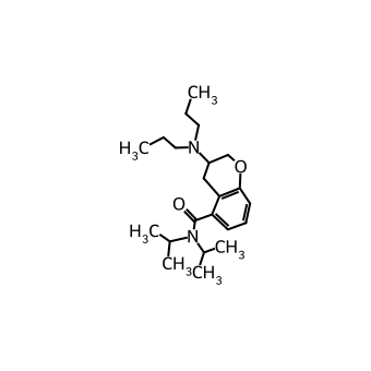 CCCN(CCC)C1COc2cccc(C(=O)N(C(C)C)C(C)C)c2C1